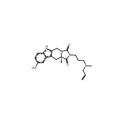 C=CCN(C)CCCN1C(=O)N2Cc3[nH]c4ccc(O)cc4c3C[C@@]2(C)C1=O